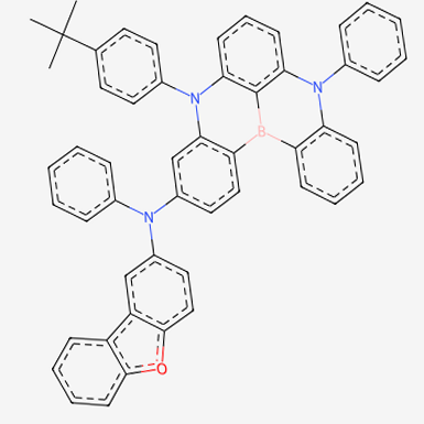 CC(C)(C)c1ccc(N2c3cc(N(c4ccccc4)c4ccc5oc6ccccc6c5c4)ccc3B3c4ccccc4N(c4ccccc4)c4cccc2c43)cc1